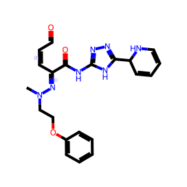 CN(CCOc1ccccc1)/N=C(\C=C/C=O)C(=O)Nc1nnc(C2C=CC=CN2)[nH]1